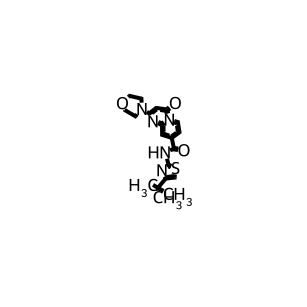 CC(C)(C)c1csc(NC(=O)c2ccn3c(=O)cc(N4CCOCC4)nc3c2)n1